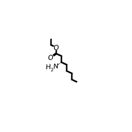 CCCCC[C@H](N)CC(=O)OCC